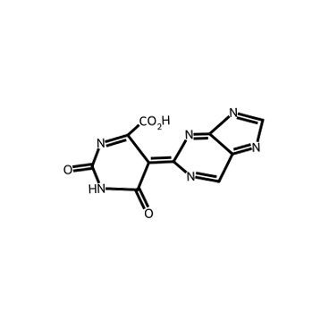 O=C1N=C(C(=O)O)C(=c2ncc3c(n2)N=CN=3)C(=O)N1